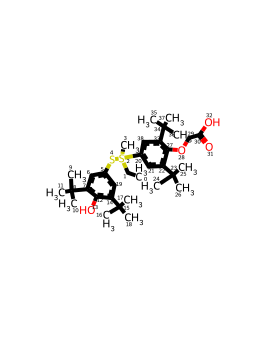 CCS(C)(Sc1cc(C(C)(C)C)c(O)c(C(C)(C)C)c1)c1cc(C(C)(C)C)c(OCC(=O)O)c(C(C)(C)C)c1